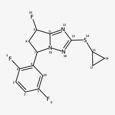 Fc1ccc(F)c(C2CC(F)c3nc(SC4CC4)nn32)c1